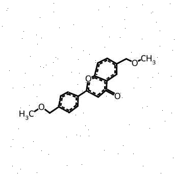 COCc1ccc(-c2cc(=O)c3cc(COC)ccc3o2)cc1